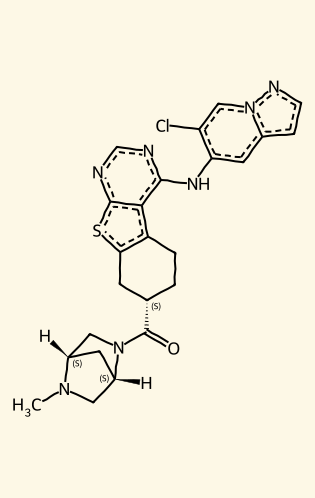 CN1C[C@@H]2C[C@H]1CN2C(=O)[C@H]1CCc2c(sc3ncnc(Nc4cc5ccnn5cc4Cl)c23)C1